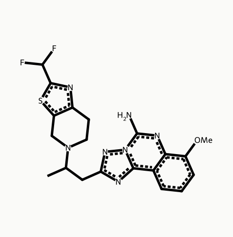 COc1cccc2c1nc(N)n1nc(CC(C)N3CCc4nc(C(F)F)sc4C3)nc21